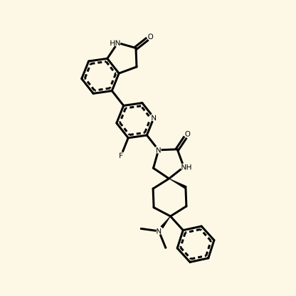 CN(C)[C@]1(c2ccccc2)CC[C@@]2(CC1)CN(c1ncc(-c3cccc4c3CC(=O)N4)cc1F)C(=O)N2